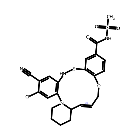 CS(=O)(=O)NC(=O)c1ccc2c(c1)SNc1cc(C#N)c(Cl)cc1N1CCCCC1/C=C/CO2